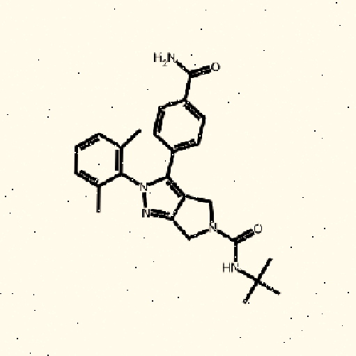 Cc1cccc(C)c1-n1nc2c(c1-c1ccc(C(N)=O)cc1)CN(C(=O)NC(C)(C)C)C2